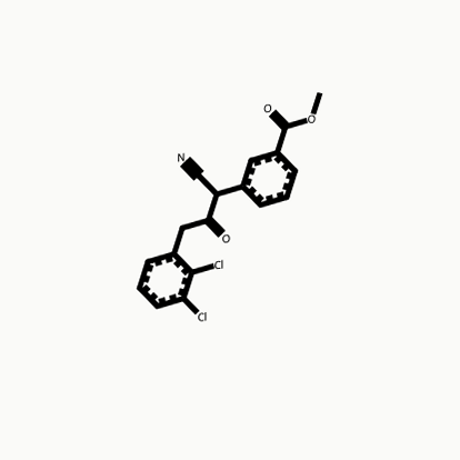 COC(=O)c1cccc(C(C#N)C(=O)Cc2cccc(Cl)c2Cl)c1